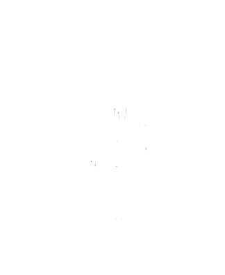 CCOC(=O)C12C[C@H]3CC(CCO)C1N(CCc1c2[nH]c2ccc(OC)cc12)C3